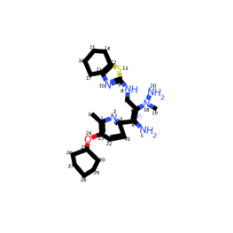 Cc1nc(/C(N)=C(\CNc2nc3c(s2)CCCC3)N(C)N)ccc1OC1CCCCC1